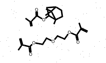 C=C(C)C(=O)OC1CC2CCC1(C)C2(C)C.C=C(C)C(=O)OCCOCCOC(=O)C(=C)C